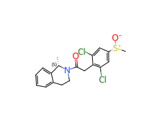 C[C@H]1c2ccccc2CCN1C(=O)Cc1c(Cl)cc([S+](C)[O-])cc1Cl